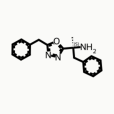 C[C@](N)(Cc1ccccc1)c1nnc(Cc2ccccc2)o1